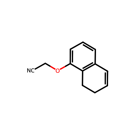 N#CCOc1cccc2c1CCC=C2